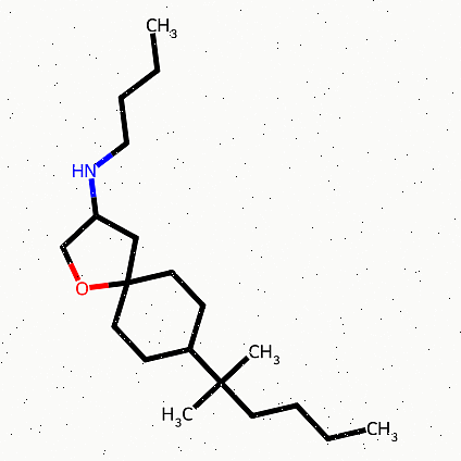 CCCCNC1COC2(CCC(C(C)(C)CCCC)CC2)C1